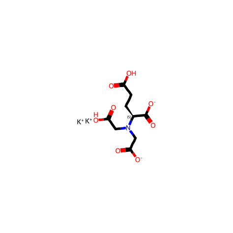 O=C([O-])CN(CC(=O)O)[C@@H](CCC(=O)O)C(=O)[O-].[K+].[K+]